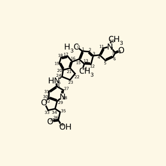 Cc1cc(-c2ccc(=O)n(C)c2)cc(C)c1-c1cccc2c1CC[C@H]2Nc1cnc2c(c1)OCC2CC(=O)O